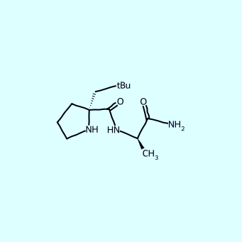 C[C@@H](NC(=O)[C@]1(CC(C)(C)C)CCCN1)C(N)=O